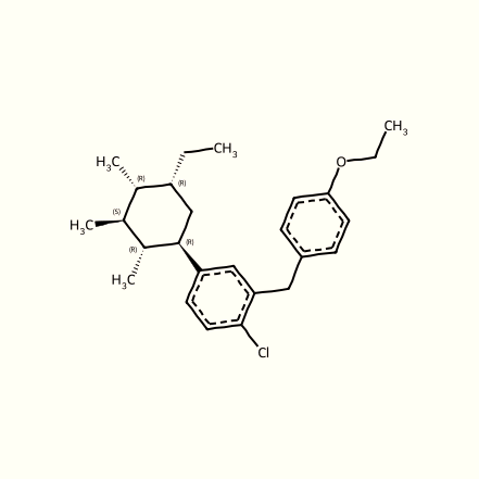 CCOc1ccc(Cc2cc([C@@H]3C[C@@H](CC)[C@@H](C)[C@H](C)[C@H]3C)ccc2Cl)cc1